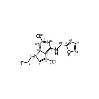 FCCn1cc(Cl)c2c(NCc3ccco3)nc(Cl)nc21